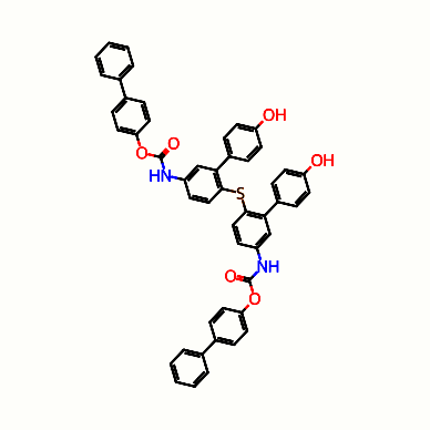 O=C(Nc1ccc(Sc2ccc(NC(=O)Oc3ccc(-c4ccccc4)cc3)cc2-c2ccc(O)cc2)c(-c2ccc(O)cc2)c1)Oc1ccc(-c2ccccc2)cc1